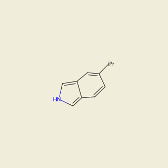 CC(C)c1ccc2c[nH]cc2c1